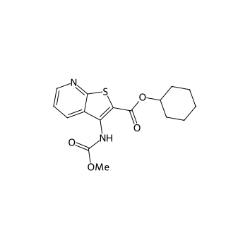 COC(=O)Nc1c(C(=O)OC2CCCCC2)sc2ncccc12